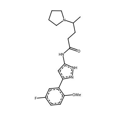 COc1ccc(F)cc1-c1cc(NC(=O)CCC(C)N2CCCC2)[nH]n1